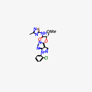 COC[C@H](Oc1ncnc2c1cnn2-c1ccccc1Cl)C(=O)Nc1nc(C)ns1